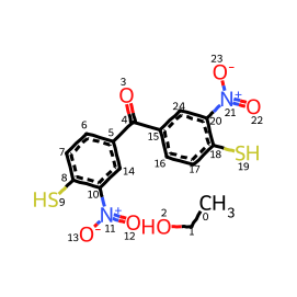 CCO.O=C(c1ccc(S)c([N+](=O)[O-])c1)c1ccc(S)c([N+](=O)[O-])c1